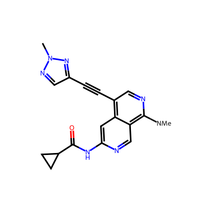 CNc1ncc(C#Cc2cnn(C)n2)c2cc(NC(=O)C3CC3)ncc12